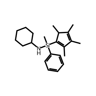 CC1=C(C)C(C)C([Si](C)(NC2CCCCC2)c2ccccc2)=C1C